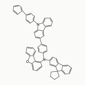 c1ccc(-c2ccc(-n3c4ccccc4c4cc(-c5ccc(N(c6ccc7c(c6)C6(CCCC6)c6ccccc6-7)c6cccc7oc8ccccc8c67)cc5)ccc43)cc2)cc1